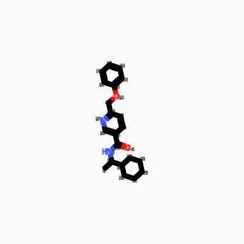 CC(NC(=O)c1ccc(COc2ccccc2)nc1)C1CCCCC1